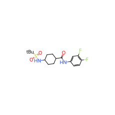 CC(C)(C)S(=O)(=O)NC1CCC(C(=O)Nc2ccc(F)c(F)c2)CC1